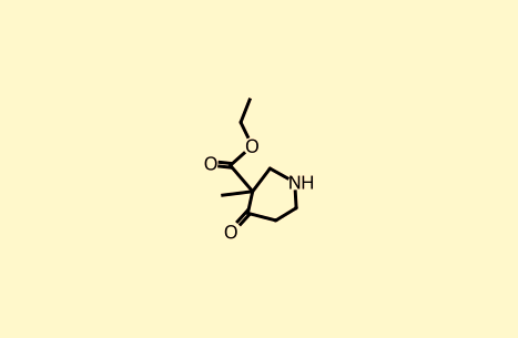 CCOC(=O)C1(C)CNCCC1=O